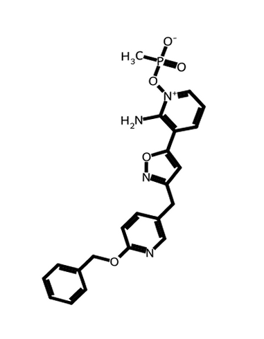 CP(=O)([O-])O[n+]1cccc(-c2cc(Cc3ccc(OCc4ccccc4)nc3)no2)c1N